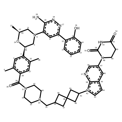 Cc1cc([C@@H]2CN(c3cc(-c4ccccc4O)nnc3N)C[C@H](C)O2)c(C)cc1C(=O)N1CCN(CC2CC3(C2)CC(n2ccc4cc(N5CCC(=O)NC5=O)cnc42)C3)CC1